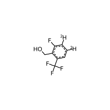 [2H]c1cc(C(F)(F)F)c(CO)c(F)c1[2H]